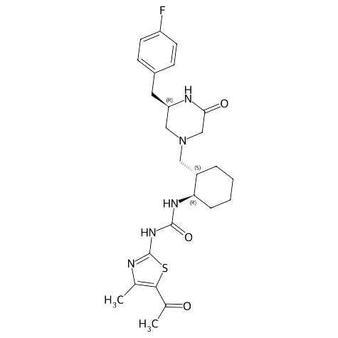 CC(=O)c1sc(NC(=O)N[C@@H]2CCCC[C@H]2CN2CC(=O)N[C@H](Cc3ccc(F)cc3)C2)nc1C